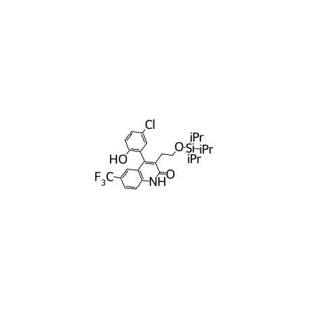 CC(C)[Si](OCCc1c(-c2cc(Cl)ccc2O)c2cc(C(F)(F)F)ccc2[nH]c1=O)(C(C)C)C(C)C